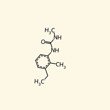 CCc1cccc(NC(=O)NC)c1C